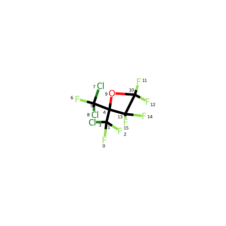 FC(F)(Cl)C1(C(F)(Cl)Cl)OC(F)(F)C1(F)F